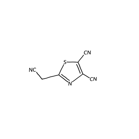 N#CCc1nc(C#N)c(C#N)s1